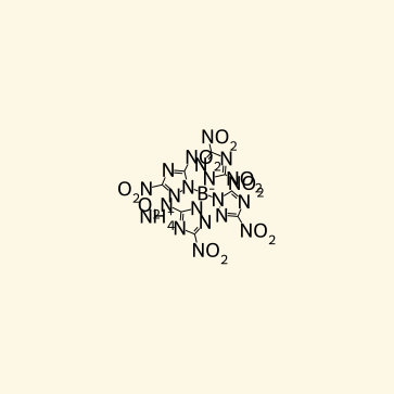 O=[N+]([O-])c1nc([N+](=O)[O-])n([B-](n2nc([N+](=O)[O-])nc2[N+](=O)[O-])(n2nc([N+](=O)[O-])nc2[N+](=O)[O-])n2nc([N+](=O)[O-])nc2[N+](=O)[O-])n1.[NH4+]